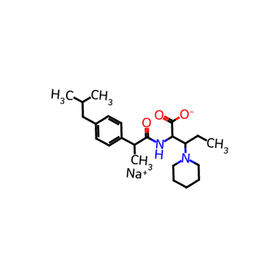 CCC(C(NC(=O)C(C)c1ccc(CC(C)C)cc1)C(=O)[O-])N1CCCCC1.[Na+]